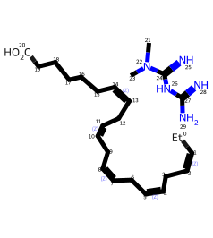 CC/C=C\C/C=C\C/C=C\C/C=C\C/C=C\CCCCCC(=O)O.CN(C)C(=N)NC(=N)N